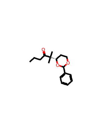 CCCC(=O)C(C)(C)[C@@H]1CCOC(c2ccccc2)O1